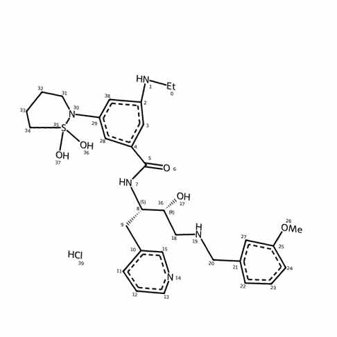 CCNc1cc(C(=O)N[C@@H](Cc2cccnc2)[C@H](O)CNCc2cccc(OC)c2)cc(N2CCCCS2(O)O)c1.Cl